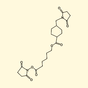 O=C(CCCCCOC(=O)C1CCC(CN2C(=O)CCC2=O)CC1)ON1C(=O)CCC1=O